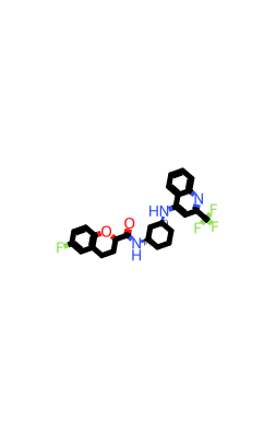 O=C(N[C@@H]1CCC[C@H](Nc2cc(C(F)(F)F)nc3ccccc23)C1)C1CCc2cc(F)ccc2O1